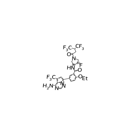 CCOc1ccc(-c2cc(C(F)(F)F)c3c(N)ncnn23)cc1C(=O)N[C@@H]1CN(C(=O)CC(C(F)(F)F)C(F)(F)F)C[C@@H]1F